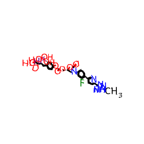 CN/N=N\C(=N)c1ccc(-c2ccc(N3C[C@H](COC(=O)Oc4ccc(CC(C(=O)CO)[PH](O)(O)O)cc4)OC3=O)cc2F)cn1